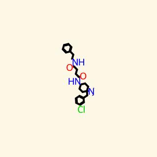 CN(C)C1(Cc2cccc(Cl)c2)CCC(NC(=O)CCC(=O)NCCc2ccccc2)CC1